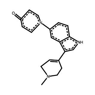 CN1CC=C(c2c[nH]c3ccc(-n4ccc(=O)cc4)cc23)CC1